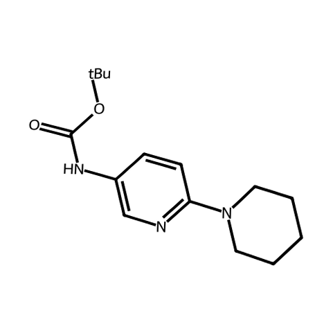 CC(C)(C)OC(=O)Nc1ccc(N2CCCCC2)nc1